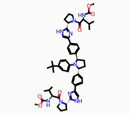 COC(=O)N[C@H](C(=O)N1CCC[C@H]1c1nc(-c2ccc([C@H]3CC[C@H](c4ccc(-c5c[nH]c([C@@H]6CCCN6C(=O)[C@@H](NC(=O)OC)C(C)C)n5)cc4)N3c3ccc(C(C)(C)C)cc3)cc2)c[nH]1)C(C)C